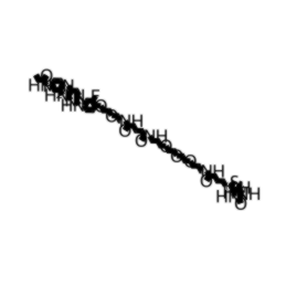 C=CC(=O)Nc1cccc(Nc2nc(Nc3ccc(OCCOCCNC(=O)CCCC(=O)NCCCOCCOCCOCCCNC(=O)CCCC[C@@H]4SC[C@@H]5NC(=O)N[C@@H]54)c(F)c3)ncc2N)c1